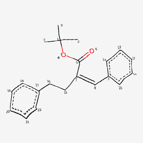 CC(C)(C)OC(=O)C(=Cc1ccccc1)CCc1ccccc1